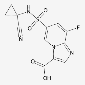 N#CC1(NS(=O)(=O)c2cc(F)c3ncc(C(=O)O)n3c2)CC1